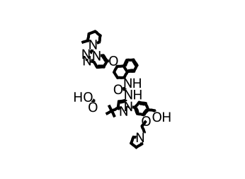 CC1CCCCN1c1nnc2ccc(O[C@@H]3CC[C@H](NC(=O)Nc4cc(C(C)(C)C)nn4-c4ccc(CO)c(OCCN5CCCC5)c4)c4ccccc43)cn12.O=CO